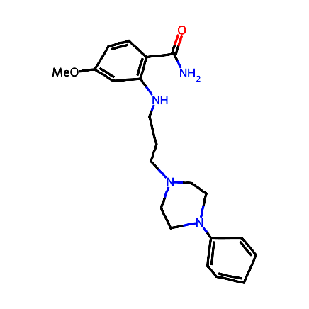 COc1ccc(C(N)=O)c(NCCCN2CCN(c3ccccc3)CC2)c1